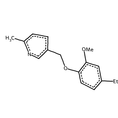 CCc1ccc(OCc2ccc(C)nc2)c(OC)c1